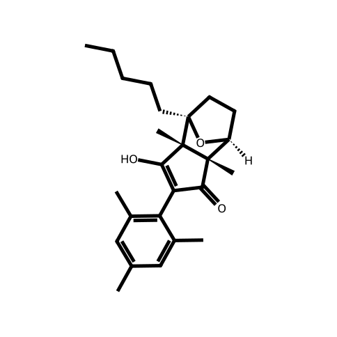 CCCCC[C@]12CC[C@H](O1)[C@]1(C)C(=O)C(c3c(C)cc(C)cc3C)=C(O)[C@]21C